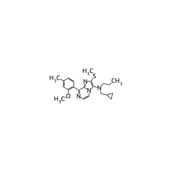 CCCN(CC1CC1)c1c(SC)nc2c(-c3ccc(C)cc3OC)nccn12